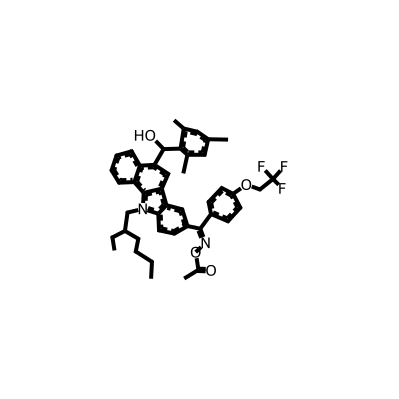 CCCCC(CC)Cn1c2ccc(/C(=N\OC(C)=O)c3ccc(OCC(F)(F)F)cc3)cc2c2cc(C(O)c3c(C)cc(C)cc3C)c3ccccc3c21